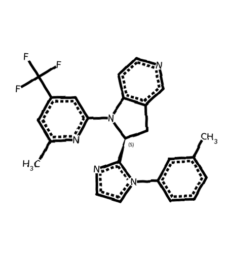 Cc1cccc(-n2ccnc2[C@@H]2Cc3cnccc3N2c2cc(C(F)(F)F)cc(C)n2)c1